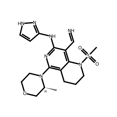 C[C@@H]1COCCN1c1nc(Nc2cc[nH]n2)c(C=N)c2c1CCCN2S(C)(=O)=O